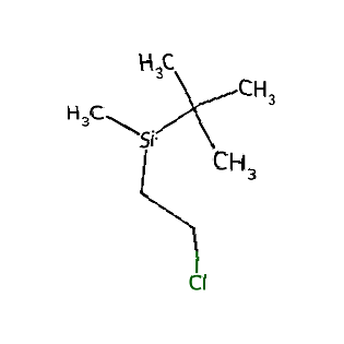 C[Si](CCCl)C(C)(C)C